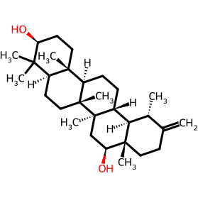 C=C1CC[C@@]2(C)[C@H]([C@@H]1C)[C@H]1CC[C@@H]3[C@@]4(C)CC[C@H](O)C(C)(C)[C@@H]4CC[C@@]3(C)[C@]1(C)C[C@@H]2O